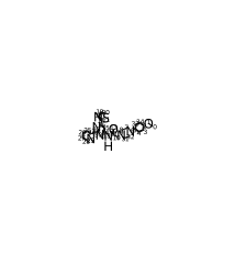 COc1ccc(N2CCN(CC(=O)Nc3cc(-c4nccs4)nc(-c4ccccn4)n3)CC2)cc1